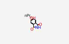 CCCO.O=C1NC(=O)c2ccccc21